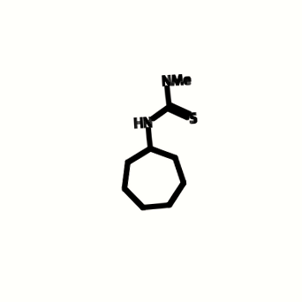 CNC(=S)NC1CCCCCC1